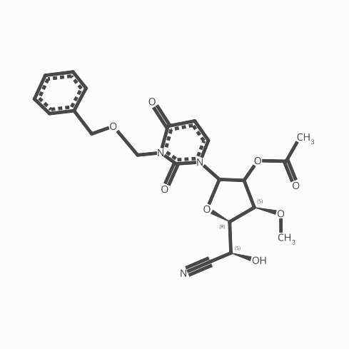 CO[C@@H]1C(OC(C)=O)C(n2ccc(=O)n(COCc3ccccc3)c2=O)O[C@@H]1[C@@H](O)C#N